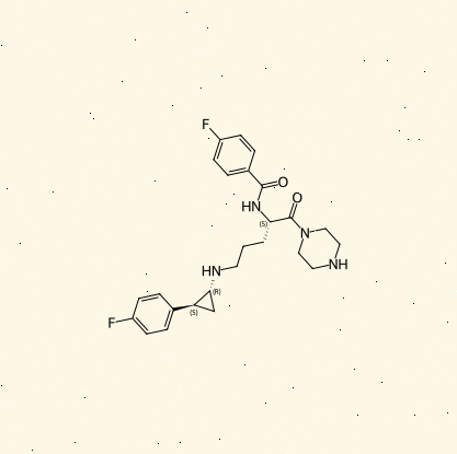 O=C(N[C@@H](CCCN[C@@H]1C[C@H]1c1ccc(F)cc1)C(=O)N1CCNCC1)c1ccc(F)cc1